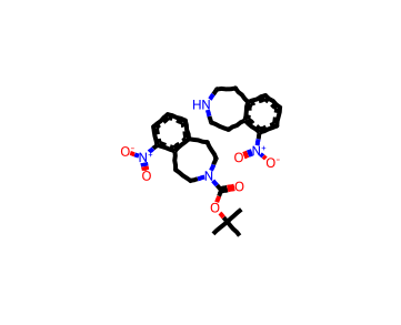 CC(C)(C)OC(=O)N1CCc2cccc([N+](=O)[O-])c2CC1.O=[N+]([O-])c1cccc2c1CCNCC2